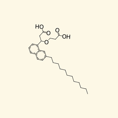 CCCCCCCCCCCCc1ccc2cccc(C(CC(=O)O)OCCC(=O)O)c2c1